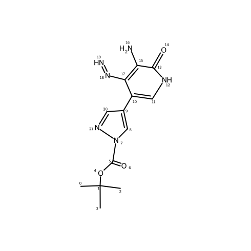 CC(C)(C)OC(=O)n1cc(-c2c[nH]c(=O)c(N)c2N=N)cn1